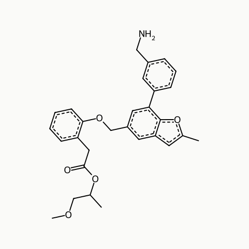 COCC(C)OC(=O)Cc1ccccc1OCc1cc(-c2cccc(CN)c2)c2oc(C)cc2c1